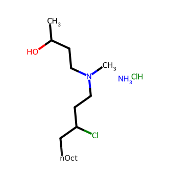 CCCCCCCCCC(Cl)CCN(C)CCC(C)O.Cl.N